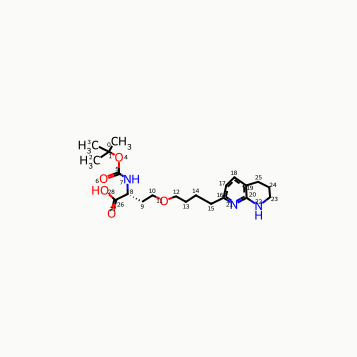 CC(C)(C)OC(=O)N[C@H](CCOCCCCc1ccc2c(n1)NCCC2)C(=O)O